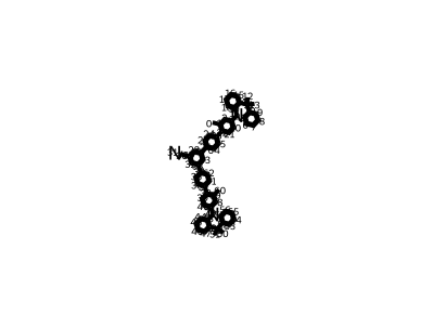 Cc1cc(N2c3ccccc3C(C)(C)c3ccccc32)ccc1-c1ccc(-c2cc(C#N)cc(-c3ccc(-c4ccc(N5c6ccccc6C(C)(C)c6ccccc65)cc4C)cc3)c2)cc1